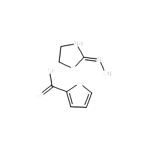 N#CN=C1NCCS1.NC(=O)c1ccco1